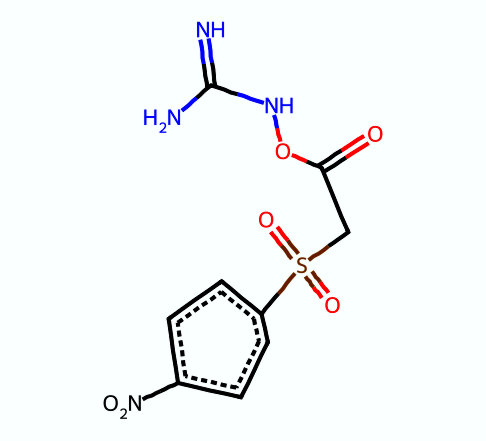 N=C(N)NOC(=O)CS(=O)(=O)c1ccc([N+](=O)[O-])cc1